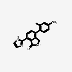 Cc1cc(N)ccc1-c1ccc(-c2ncc[nH]2)c2c1CNC2=O